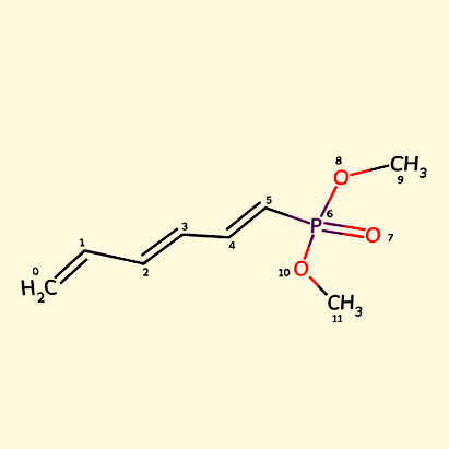 C=CC=CC=CP(=O)(OC)OC